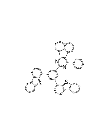 c1ccc(-c2nc(-c3cc(-c4cccc5c4sc4ccccc45)cc(-c4cccc5c4sc4ccccc45)c3)nc3c2-c2cccc4cccc-3c24)cc1